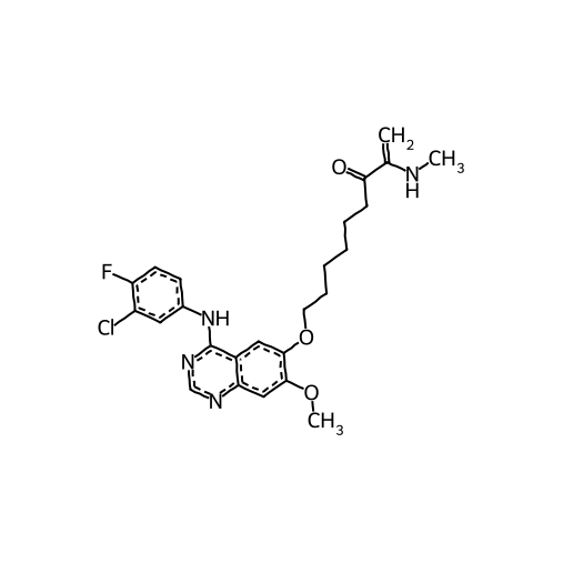 C=C(NC)C(=O)CCCCCCOc1cc2c(Nc3ccc(F)c(Cl)c3)ncnc2cc1OC